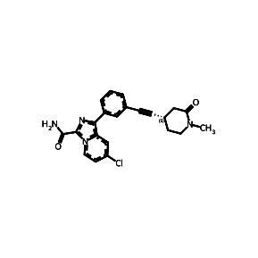 CN1CC[C@H](C#Cc2cccc(-c3nc(C(N)=O)n4ccc(Cl)cc34)c2)CC1=O